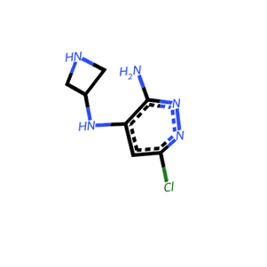 Nc1nnc(Cl)cc1NC1CNC1